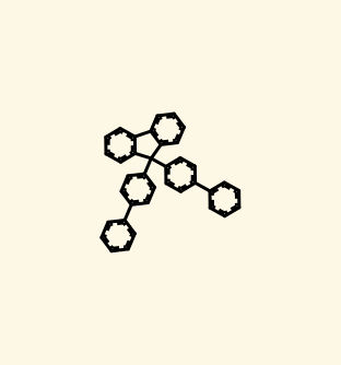 c1ccc(-c2ccc(C3(c4ccc(-c5ccccc5)cc4)c4ccccc4-c4ccccc43)cc2)cc1